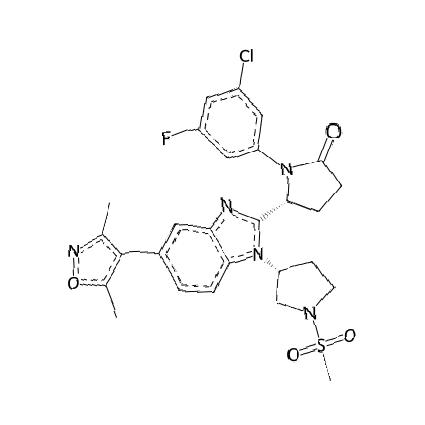 Cc1noc(C)c1-c1ccc2c(c1)nc([C@H]1CCC(=O)N1c1cc(F)cc(Cl)c1)n2[C@@H]1CCN(S(C)(=O)=O)C1